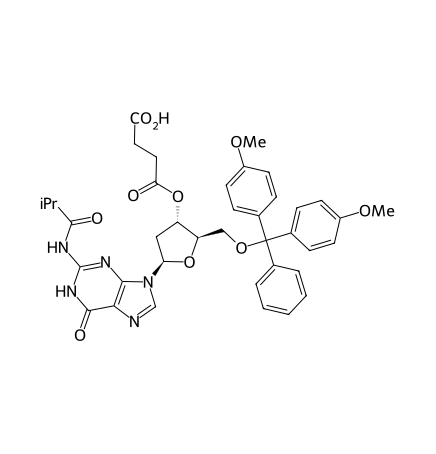 COc1ccc(C(OC[C@H]2O[C@@H](n3cnc4c(=O)[nH]c(NC(=O)C(C)C)nc43)C[C@@H]2OC(=O)CCC(=O)O)(c2ccccc2)c2ccc(OC)cc2)cc1